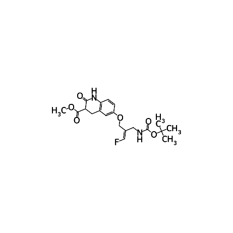 COC(=O)C1Cc2cc(OC/C(=C\F)CNC(=O)OC(C)(C)C)ccc2NC1=O